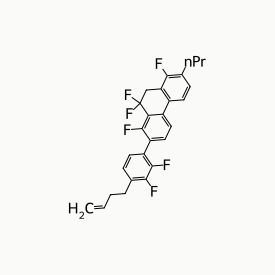 C=CCCc1ccc(-c2ccc3c(c2F)C(F)(F)Cc2c-3ccc(CCC)c2F)c(F)c1F